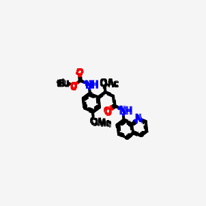 COc1ccc(NC(=O)OC(C)(C)C)c(C(CC(=O)Nc2cccc3cccnc23)OC(C)=O)c1